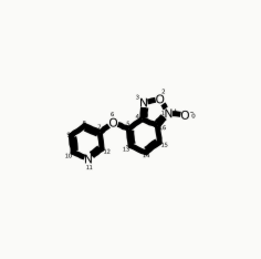 [O-][n+]1onc2c(Oc3cccnc3)[c]ccc21